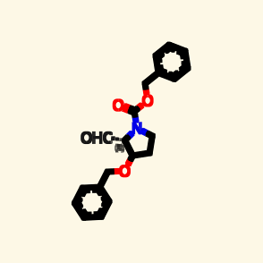 O=C[C@H]1C(OCc2ccccc2)CCN1C(=O)OCc1ccccc1